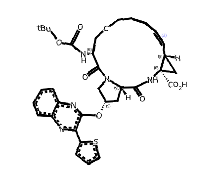 CC(C)(C)OC(=O)N[C@@H]1CCCCC/C=C\[C@@H]2C[C@@]2(C(=O)O)NC(=O)[C@@H]2C[C@H](Oc3nc4ccccc4nc3-c3cccs3)CN2C1=O